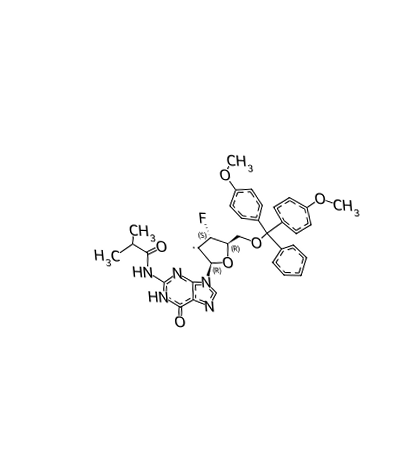 COc1ccc(C(OC[C@H]2O[C@@H](n3cnc4c(=O)[nH]c(NC(=O)C(C)C)nc43)[CH][C@@H]2F)(c2ccccc2)c2ccc(OC)cc2)cc1